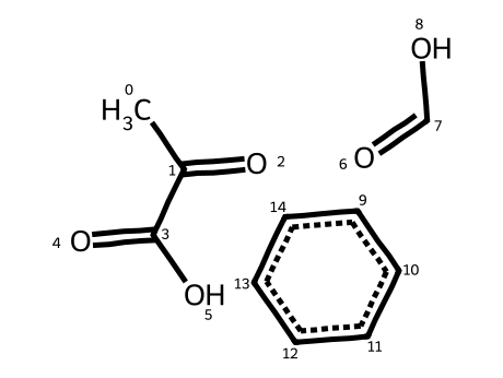 CC(=O)C(=O)O.O=CO.c1ccccc1